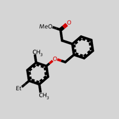 CCc1cc(C)c(OCc2ccccc2CC(=O)OC)cc1C